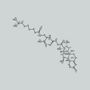 C[C@]12C=CC(=O)C=C1CC[C@H]1[C@@H]3C[C@@H](O)[C@](O)(C(=O)COC(=O)NC(COC(=O)CCCCCON(O)O)C(=O)O)[C@@]3(C)C[C@H](O)[C@@]12F